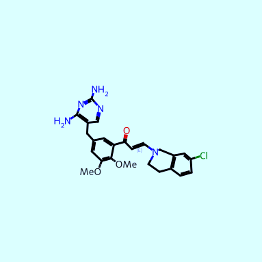 COc1cc(Cc2cnc(N)nc2N)cc(C(=O)/C=C/N2CCc3ccc(Cl)cc3C2)c1OC